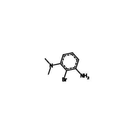 CN(C)c1cccc(N)c1Br